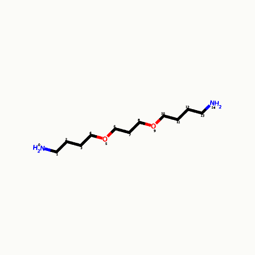 NCCCCOCCCOCCCCN